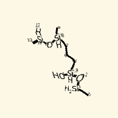 C[SiH2]O[SiH](O)CCC[SiH](C)O[SiH](C)C